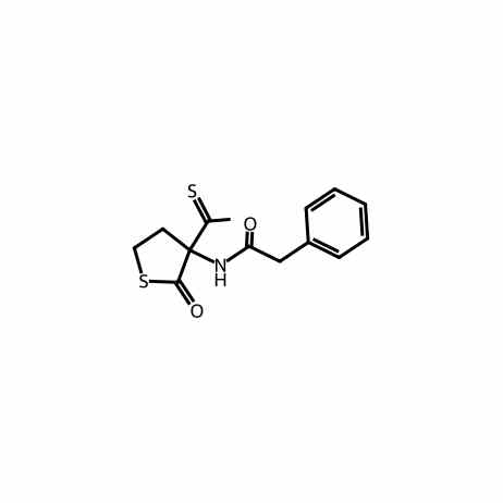 CC(=S)C1(NC(=O)Cc2ccccc2)CCSC1=O